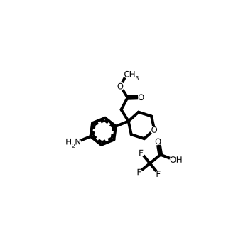 COC(=O)CC1(c2ccc(N)cc2)CCOCC1.O=C(O)C(F)(F)F